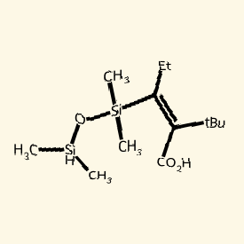 CC/C(=C(/C(=O)O)C(C)(C)C)[Si](C)(C)O[SiH](C)C